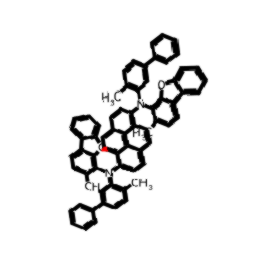 Cc1ccc(-c2ccccc2)cc1N(c1ccc2ccc3c(N(c4cc(-c5ccccc5)ccc4C)c4c(C)ccc5c4oc4ccccc45)ccc4ccc1c2c43)c1c(C)ccc2c1oc1ccccc12